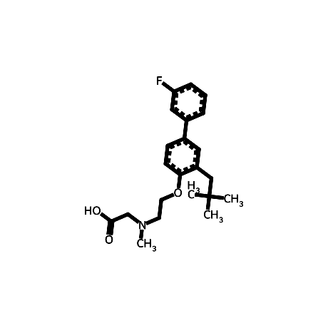 CN(CCOc1ccc(-c2cccc(F)c2)cc1CC(C)(C)C)CC(=O)O